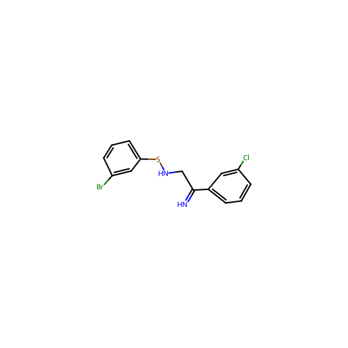 N=C(CNSc1cccc(Br)c1)c1cccc(Cl)c1